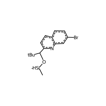 C[SiH](C)OC(c1ccc2ccc(Br)cc2n1)C(C)(C)C